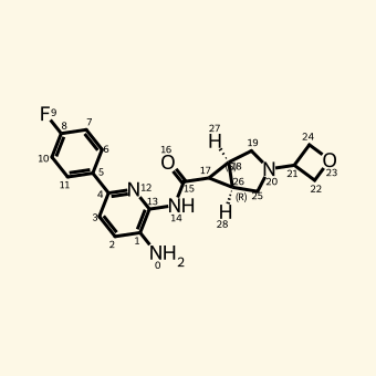 Nc1ccc(-c2ccc(F)cc2)nc1NC(=O)C1[C@H]2CN(C3COC3)C[C@@H]12